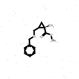 CC(C)(C)OC(=O)[C@@]1(C)CC1COCc1ccccc1